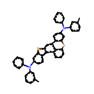 Cc1cccc(N(c2ccccc2)c2ccc3c(c2)Sc2cccc4c2c-3cc2sc3cc(N(c5ccccc5)c5cccc(C)c5)ccc3c24)c1